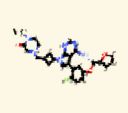 CN1CCN(CC2CC(n3cc(-c4cc(OCC5CCCO5)ccc4F)c4c(N)ncnc43)C2)CC1=O